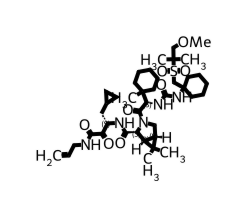 C=CCNC(=O)C(=O)[C@H](CC1CC1)NC(=O)[C@@H]1[C@@H]2[C@H](CN1C(=O)[C@@H](NC(=O)NC1(CS(=O)(=O)C(C)(C)COC)CCCCC1)C1(C)CCCCC1)C2(C)C